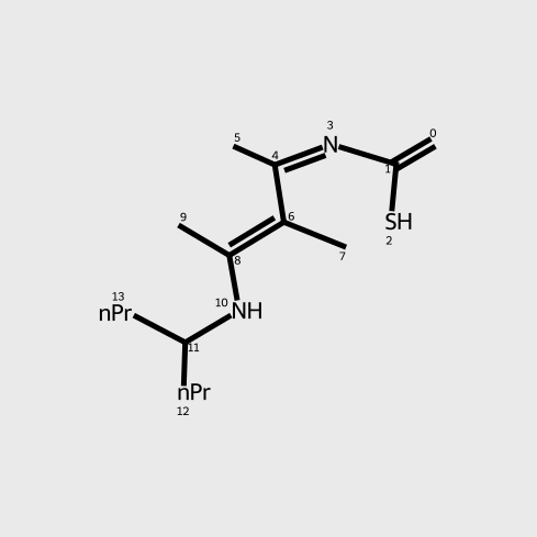 C=C(S)/N=C(C)\C(C)=C(/C)NC(CCC)CCC